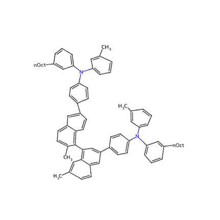 CCCCCCCCc1cccc(N(c2ccc(-c3cc(-c4c(C)ccc5cc(-c6ccc(N(c7cccc(C)c7)c7cccc(CCCCCCCC)c7)cc6)ccc45)c4cc(C)ccc4c3)cc2)c2cccc(C)c2)c1